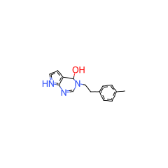 Cc1ccc(CCN2C=Nc3[nH]ccc3C2O)cc1